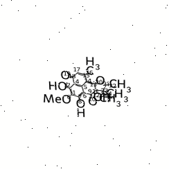 COc1c(O)c2c3c(c1O)C(=O)C1(O)C(=C3C(C)=CC2=O)OC(C)C1(C)C